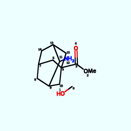 CO.COC(=O)C12CC3CC(C1)C(N)C(C3)C2